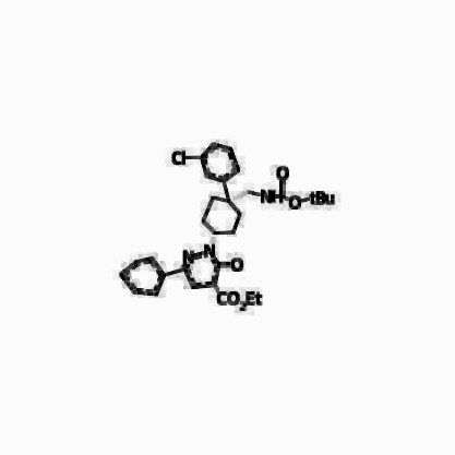 CCOC(=O)c1cc(-c2ccccc2)nn([C@H]2CC[C@](CNC(=O)OC(C)(C)C)(c3cccc(Cl)c3)CC2)c1=O